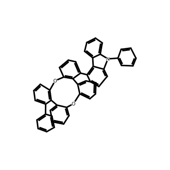 c1ccc(-c2cccc3c2-c2ccccc2Oc2ccccc2-c2c(cccc2-c2cccc4c2c2ccccc2n4-c2ccccc2)O3)cc1